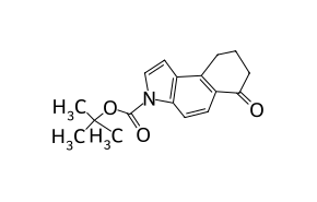 CC(C)(C)OC(=O)n1ccc2c3c(ccc21)C(=O)CCC3